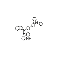 c1ccc(-n2c3ccccc3c3cc(-c4ccc(Nc5ccc6ccccc6c5)c(-c5ccc6[nH]c7ccccc7c6c5)c4)ccc32)cc1